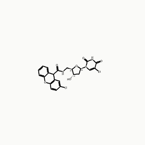 CCc1cn([C@H]2C[C@H](O)[C@@H](CNC(=O)C3c4ccccc4Oc4ccc(Cl)cc43)O2)c(=O)[nH]c1=O